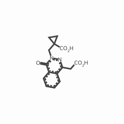 O=C(O)Cc1nn(CC2(C(=O)O)CC2)c(=O)c2ccccc12